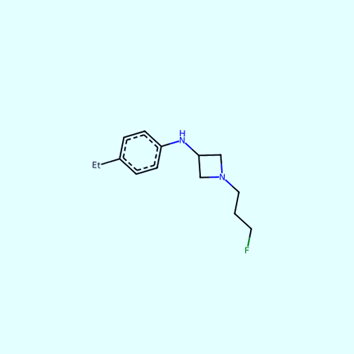 CCc1ccc(NC2CN(CCCF)C2)cc1